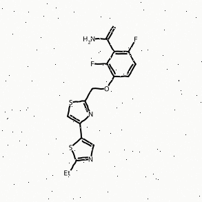 C=C(N)c1c(F)ccc(OCc2nc(-c3cnc(CC)s3)cs2)c1F